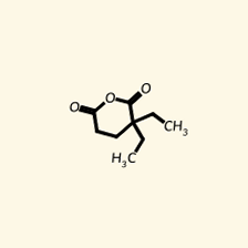 CCC1(CC)CCC(=O)OC1=O